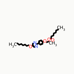 CCCCCCCCOc1cnc(-c2ccc(OCC(C)OC(=O)CCCCCCC)cc2)nc1